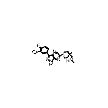 CNCC1(C)CCN(c2cnc3c(-c4ccc(F)c(Cl)c4)n[nH]c3n2)CC1